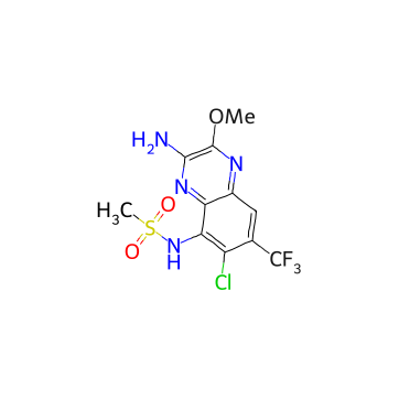 COc1nc2cc(C(F)(F)F)c(Cl)c(NS(C)(=O)=O)c2nc1N